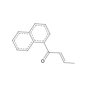 CC=CC(=O)c1cccc2ccccc12